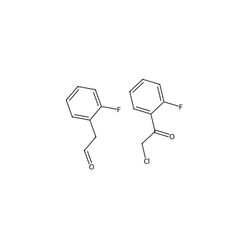 O=C(CCl)c1ccccc1F.O=CCc1ccccc1F